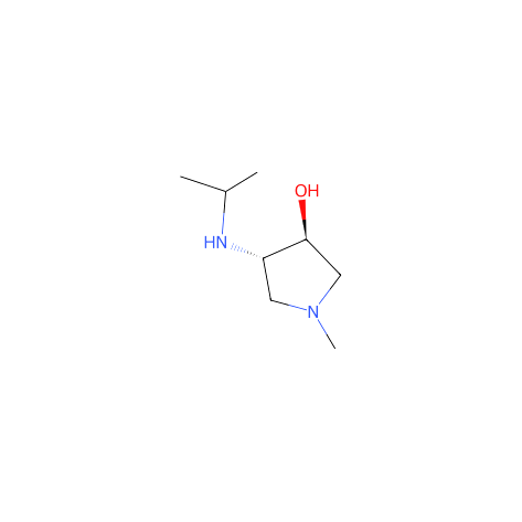 CC(C)N[C@H]1CN(C)C[C@@H]1O